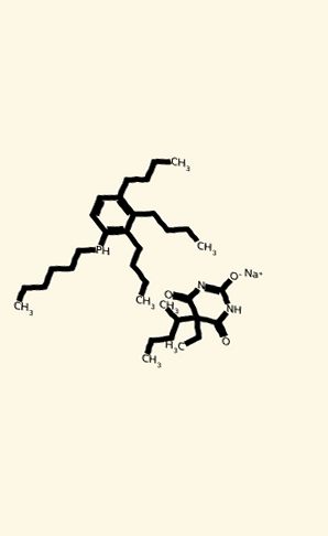 CCCC(C)C1(CC)C(=O)N=C([O-])NC1=O.CCCCCCPc1ccc(CCCC)c(CCCC)c1CCCC.[Na+]